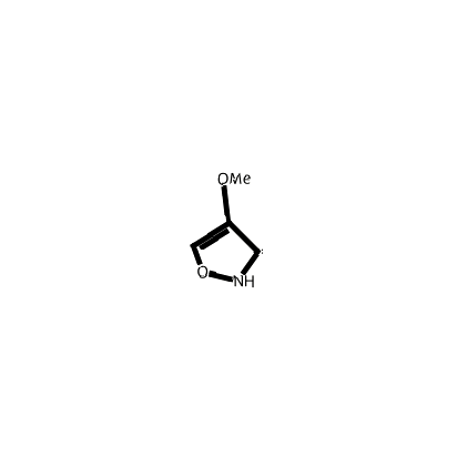 COC1=CON[C]1